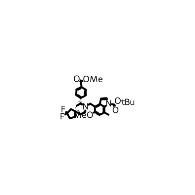 COC(=O)c1ccc([C@H]2C[C@]3(CCN2Cc2c(OC)cc(C)c4c2ccn4C(=O)OC(C)(C)C)CCC(F)(F)C3)cc1